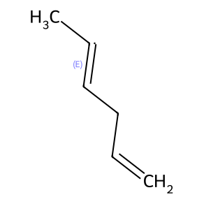 C=CC/C=[C]/C